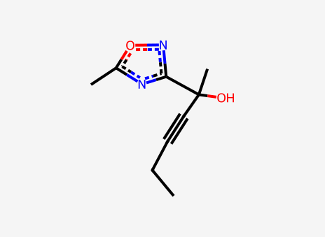 CCC#CC(C)(O)c1noc(C)n1